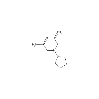 C=CCN(CC(N)=O)C1CCCC1